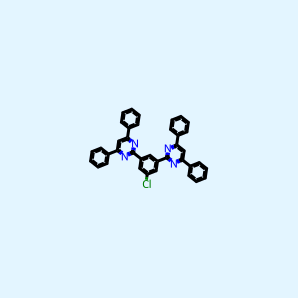 Clc1cc(-c2nc(-c3ccccc3)cc(-c3ccccc3)n2)cc(-c2nc(-c3ccccc3)cc(-c3ccccc3)n2)c1